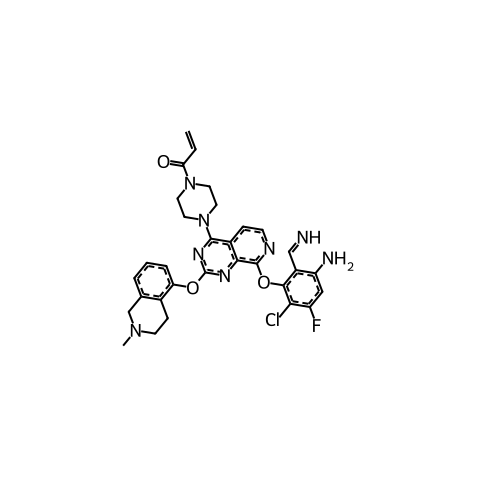 C=CC(=O)N1CCN(c2nc(Oc3cccc4c3CCN(C)C4)nc3c(Oc4c(Cl)c(F)cc(N)c4C=N)nccc23)CC1